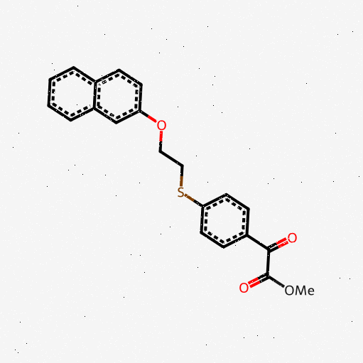 COC(=O)C(=O)c1ccc(SCCOc2ccc3ccccc3c2)cc1